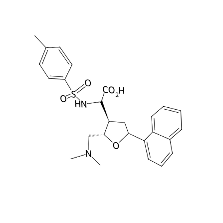 Cc1ccc(S(=O)(=O)NC(C(=O)O)[C@H]2CC(c3cccc4ccccc34)O[C@@H]2CN(C)C)cc1